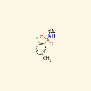 Cc1ccc(F)c(S(=O)(=O)NC(C)(C)C)c1